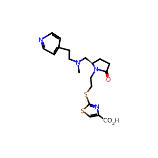 CN(CCc1ccncc1)C[C@H]1CCC(=O)N1CCSc1nc(C(=O)O)cs1